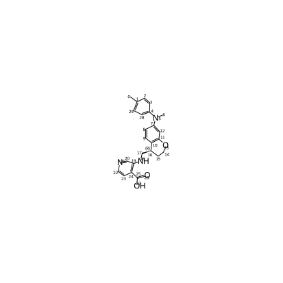 Cc1ccc(N(C)c2ccc3c(c2)OCC[C@H]3CNc2cnccc2C(=O)O)cc1